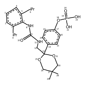 CC(C)c1cccc(C(C)C)c1NC(=O)NCC1(c2ccc(OP(=O)(O)O)cc2)OCC(C)(C)CO1